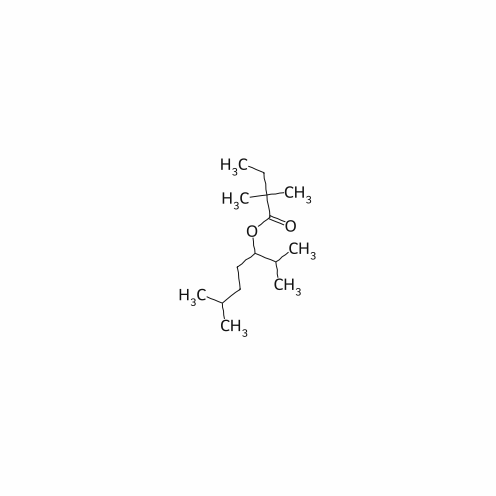 CCC(C)(C)C(=O)OC(CCC(C)C)C(C)C